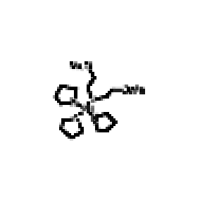 COCCN(CCOC)[PH](N1CCCC1)(N1CCCC1)N1CCCC1